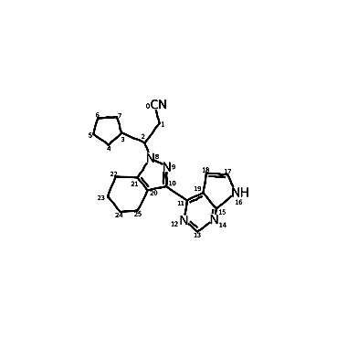 N#CCC(C1CCCC1)n1nc(-c2ncnc3[nH]ccc23)c2c1CCCC2